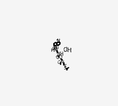 CC(=O)N(CCOC(=O)NCCNS(=O)(=O)c1cccc2c(N(C)C)cccc12)CCSSC(C)C.Cl